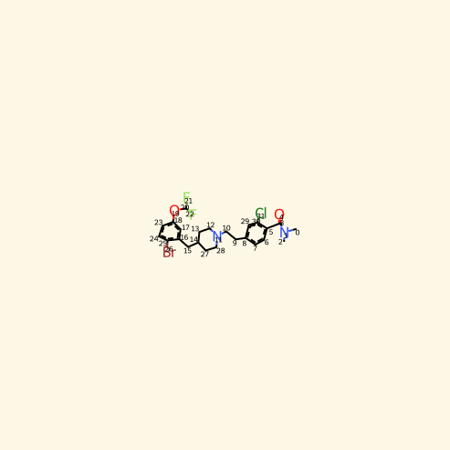 CN(C)C(=O)c1ccc(CCN2CCC(Cc3cc(OC(F)F)ccc3Br)CC2)cc1Cl